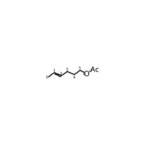 CC=CCCCOC(C)=O